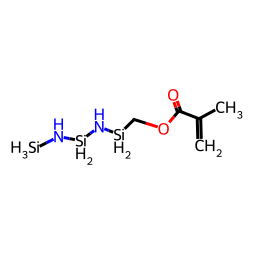 C=C(C)C(=O)OC[SiH2]N[SiH2]N[SiH3]